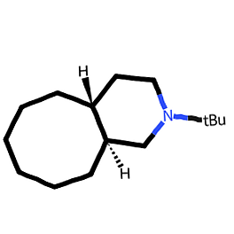 CC(C)(C)N1CC[C@H]2CCCCCC[C@@H]2C1